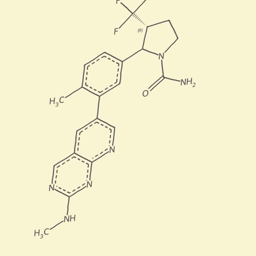 CNc1ncc2cc(-c3cc(C4[C@H](C(F)(F)F)CCN4C(N)=O)ccc3C)cnc2n1